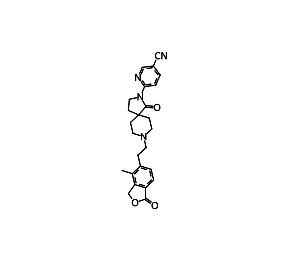 Cc1c(CCN2CCC3(CC2)CCN(c2ccc(C#N)cn2)C3=O)ccc2c1COC2=O